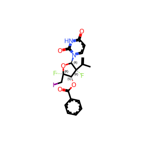 C=C(C)[C@]1(F)[C@H](n2ccc(=O)[nH]c2=O)O[C@](F)(CI)[C@H]1OC(=O)c1ccccc1